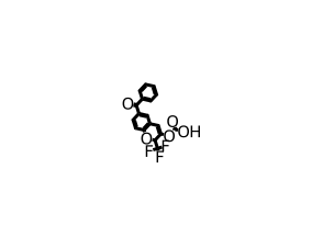 O=C(O)OC1=Cc2cc(C(=O)c3ccccc3)ccc2OC1C(F)(F)F